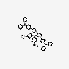 Nc1ccc(C2(c3ccc([N+](=O)[O-])cc3)c3cc(-c4ccc(N(c5ccccc5)c5ccccc5)cc4)ccc3-c3ccc(-c4ccc(N(c5ccccc5)c5ccccc5)cc4)cc32)cc1